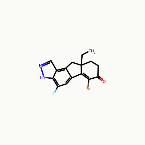 CCC12CCC(=O)C(Br)=C1c1cc(F)c3[nH]ncc3c1C2